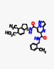 Cc1ccccc1CNC(=O)c1cc(C(=O)N[C@H]2CCc3c2ccc(C(=O)O)c3C)n2nccc2n1